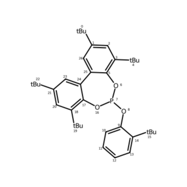 CC(C)(C)c1cc(C(C)(C)C)c2op(Oc3ccccc3C(C)(C)C)oc3c(C(C)(C)C)cc(C(C)(C)C)cc3c2c1